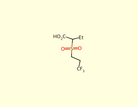 CCC(C(=O)O)S(=O)(=O)CCC(F)(F)F